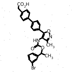 Cc1noc(-c2ccc(-c3ccc(CC(=O)O)cc3)cc2)c1NC(=O)OC(C)c1cccc(Br)c1